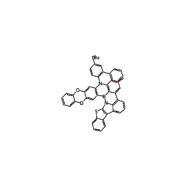 Cc1cc2c3c(c1)N(c1ccc(C(C)(C)C)cc1-c1ccccc1)c1cc4c(cc1B3n1c3sc5ccccc5c3c3cccc-2c31)Oc1ccccc1O4